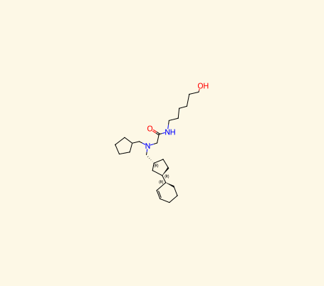 O=C(CN(CC1CCCC1)C[C@@H]1CC[C@@H]([C@@H]2C=CCCC2)C1)NCCCCCCO